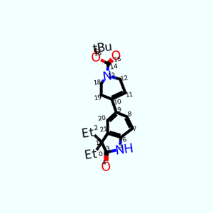 CCC1(CC)C(=O)Nc2ccc(C3=CCN(C(=O)OC(C)(C)C)CC3)cc21